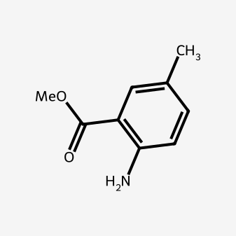 COC(=O)c1cc(C)ccc1N